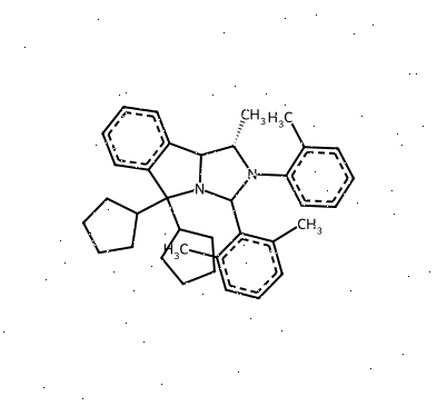 Cc1ccccc1N1C(c2c(C)cccc2C)N2C(c3ccccc3C2(C2CCCC2)C2CCCC2)[C@@H]1C